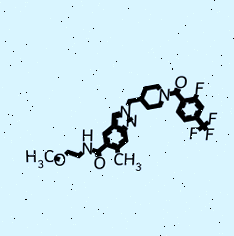 COCCNC(=O)c1cc2cn(CC3CCN(C(=O)c4ccc(C(F)(F)F)cc4F)CC3)nc2cc1C